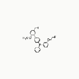 COc1ccc(CI)cc1-c1ccc(P(c2ccccc2)c2cccc(OCCF)c2)cc1